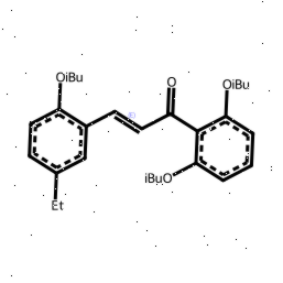 CCc1ccc(OCC(C)C)c(/C=C/C(=O)c2c(OCC(C)C)cccc2OCC(C)C)c1